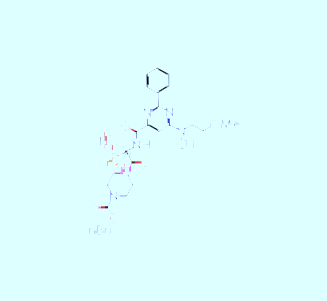 CCCCOC(=O)N1CCN(C(=O)[C@@](C)(NC(=O)c2cc(N(C)CCOC)nc(-c3ccccc3)n2)P(=O)(O)O)CC1